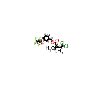 CC1(C)C(C=C(Cl)Cl)C1C(=O)OCc1cccc(OC(F)(F)C(F)F)c1